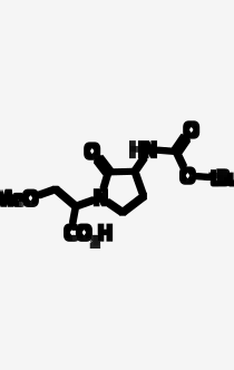 COCC(C(=O)O)N1CCC(NC(=O)OC(C)(C)C)C1=O